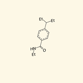 CCNC(=O)c1ccc(C(CC)CC)cc1